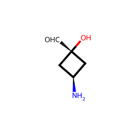 N[C@H]1C[C@@](O)(C=O)C1